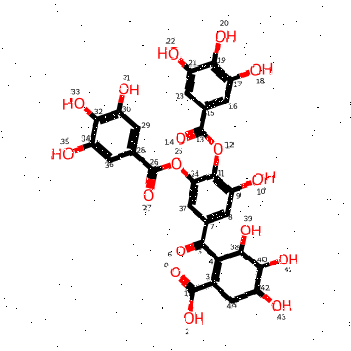 O=C(O)C1=C(C(=O)c2cc(O)c(OC(=O)c3cc(O)c(O)c(O)c3)c(OC(=O)c3cc(O)c(O)c(O)c3)c2)C(O)C(O)C(O)C1